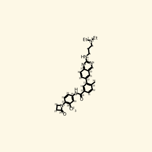 CCN(CC)CCCNc1ncc2cc(-c3cc(C(=O)Nc4ccc(N5CCC5=O)c(C(F)(F)F)c4)ccc3C)ccc2n1